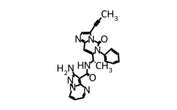 CC#Cc1cnc2cc([C@H](C)NC(=O)c3c(N)nn4cccnc34)n(-c3ccccc3)c(=O)n12